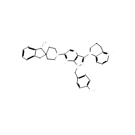 COc1ccc(Cn2nc(N3CCCc4ncccc43)c3ncc(N4CCC5(CC4)Cc4ccccc4[C@H]5N)nc32)cc1